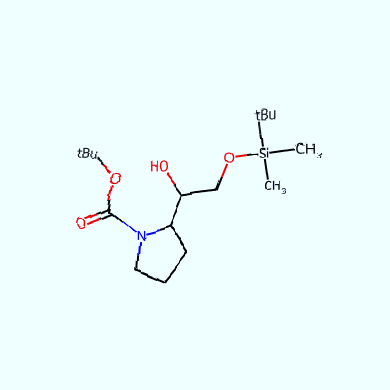 CC(C)(C)OC(=O)N1CCCC1C(O)CO[Si](C)(C)C(C)(C)C